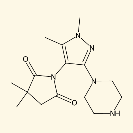 Cc1c(N2C(=O)CC(C)(C)C2=O)c(N2CCNCC2)nn1C